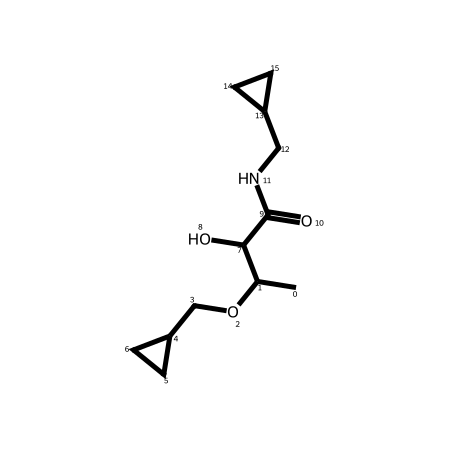 CC(OCC1CC1)C(O)C(=O)NCC1CC1